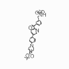 CC(C)(C)OC(=O)N1CCN(c2ccc(-c3cnc4c(-c5cccc(CNS(C)(=O)=O)c5)coc4c3)cc2)CC1